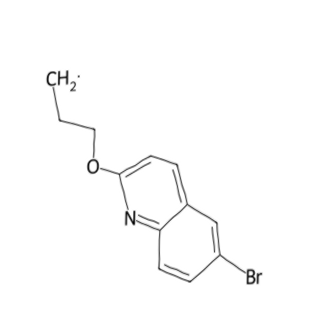 [CH2]CCOc1ccc2cc(Br)ccc2n1